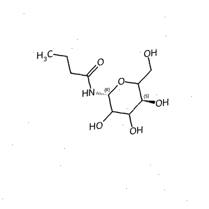 CCCC(=O)N[C@@H]1OC(CO)[C@@H](O)C(O)C1O